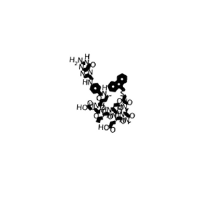 C=CC[C@H](NC(=O)[C@H](CC(=O)O)NC(=O)CC[C@@H](C)NC(=O)c1ccc(NCc2cnc3nc(N)[nH]c(=O)c3n2)cc1)C(=O)N[C@@H](CC(=O)O)C(=O)N[C@@H](CCC(=O)O)C(=O)N[C@@H](CNC(=O)CCSCC1c2ccccc2-c2ccccc21)C(=O)NC